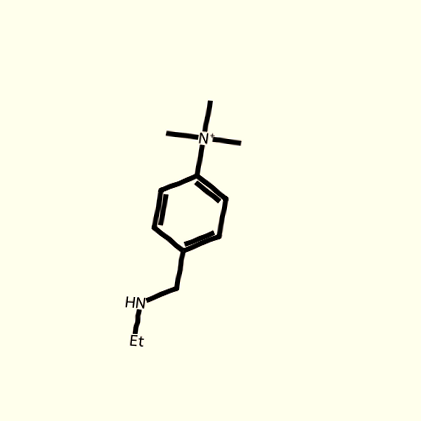 CCNCc1ccc([N+](C)(C)C)cc1